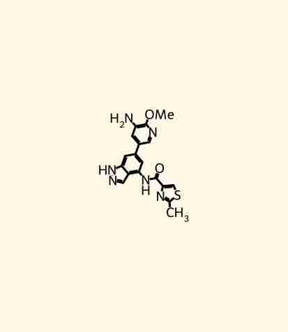 COc1ncc(-c2cc(NC(=O)c3csc(C)n3)c3cn[nH]c3c2)cc1N